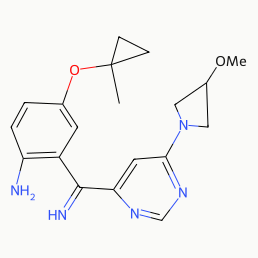 COC1CN(c2cc(C(=N)c3cc(OC4(C)CC4)ccc3N)ncn2)C1